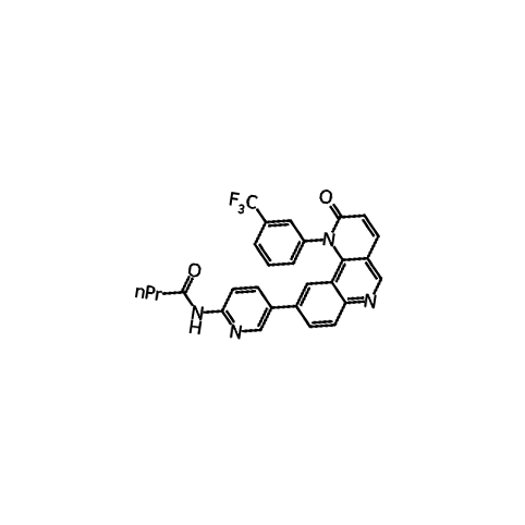 CCCC(=O)Nc1ccc(-c2ccc3ncc4ccc(=O)n(-c5cccc(C(F)(F)F)c5)c4c3c2)cn1